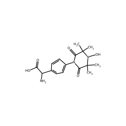 CC1(C)C(=O)N(c2ccc(C(N)C(=O)O)cc2)C(=O)C(C)(C)N1O